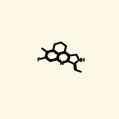 C/C=C1\NCc2c1nc1cc(F)c(C)c3c1c2CCC3